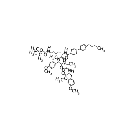 CCCCc1ccc(-c2ccc(C(=O)N[C@@H](CCCCNC(=O)OC(C)(C)C)C(=O)N(C)[C@H](C(=O)N[C@@H](C)C(=O)N[C@@H](Cc3ccc(OC)cc3)C(=O)OC)c3ccc(OC)cc3)cc2)cc1